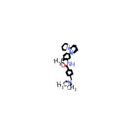 CCN(CC)Cc1ccc(C(=O)Nc2cc(N3C=CC=CC3N3CCCCC3)ccc2C)cc1